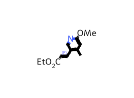 CCOC(=O)/C=C/c1cnc(OC)cc1C